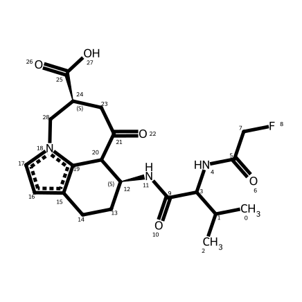 CC(C)C(NC(=O)CF)C(=O)N[C@H]1CCc2ccn3c2C1C(=O)C[C@H](C(=O)O)C3